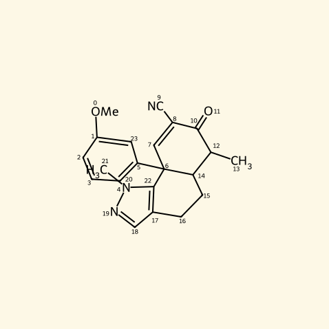 COc1cccc(C23C=C(C#N)C(=O)C(C)C2CCc2cnn(C)c23)c1